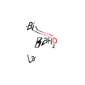 [BaH2].[La].[O]=[Bi]